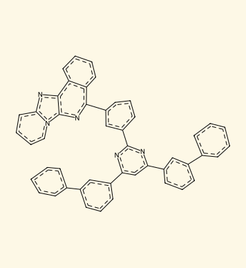 c1ccc(-c2cccc(-c3cc(-c4cccc(-c5ccccc5)c4)nc(-c4cccc(-c5nc6c(nc7ccccn76)c6ccccc56)c4)n3)c2)cc1